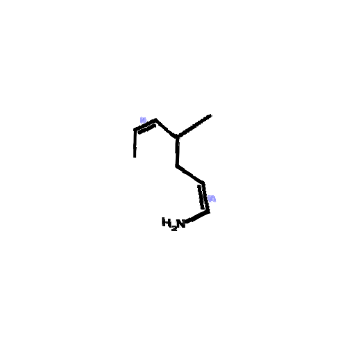 C/C=C\C(C)C/C=C\N